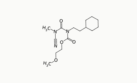 COCCOC(=O)N(CCC1CCCCC1)C(=O)N(C)C#N